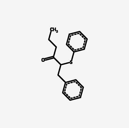 CCCC(=O)C(Cc1ccccc1)Sc1ccccc1